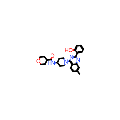 Cc1ccc2c(N3CCC(NC(=O)C4CCOCC4)CC3)nc(-c3ccccc3O)nc2c1